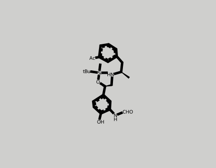 CC(=O)c1cccc(C[C@@H](C)NC[C@H](O[Si](C)(C)C(C)(C)C)c2ccc(O)c(NC=O)c2)c1